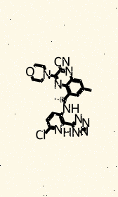 Cc1cc([C@@H](C)Nc2ccc(Cl)nc2-c2nnn[nH]2)c2nc(N3CCOCC3)c(C#N)nc2c1